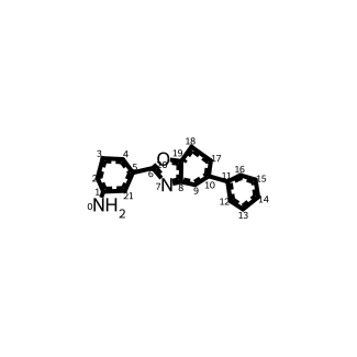 Nc1cccc(-c2nc3cc(-c4ccccc4)ccc3o2)c1